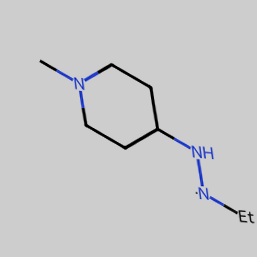 CC[N]NC1CCN(C)CC1